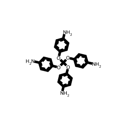 Nc1ccc(OC(Oc2ccc(N)cc2)(Oc2ccc(N)cc2)Oc2ccc(N)cc2)cc1